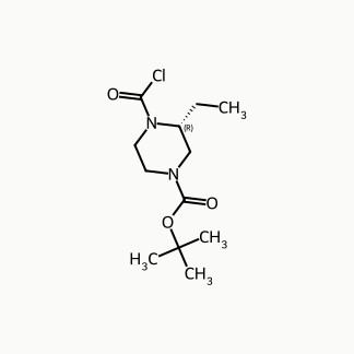 CC[C@@H]1CN(C(=O)OC(C)(C)C)CCN1C(=O)Cl